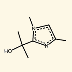 Cc1cn(C)c(C(C)(C)O)n1